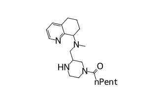 CCCCCC(=O)N1CCNC(CN(C)C2CCCc3cccnc32)C1